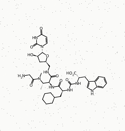 C[C@@H]([C@H](NC(=O)[C@H](CC1CCCCC1)NC(=O)N[C@@H](Cc1c[nH]c2ccccc12)C(=O)O)C(=O)NC[C@H]1C[C@@H](O)[C@H](n2ccc(=O)[nH]c2=O)O1)N(C)C(=O)CN